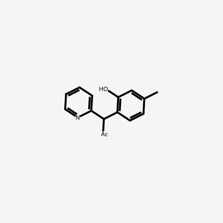 CC(=O)C(c1ccccn1)c1ccc(C)cc1O